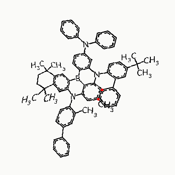 Cc1cc2c3c(c1)N(c1ccc(C(C)(C)C)cc1-c1ccccc1)c1cc(N(c4ccccc4)c4ccccc4)ccc1B3c1cc3c(cc1N2c1ccc(-c2ccccc2)cc1C)C(C)(C)CCC3(C)C